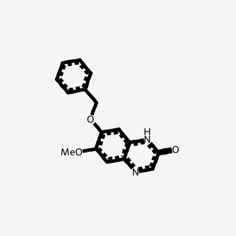 COc1cc2ncc(=O)[nH]c2cc1OCc1ccccc1